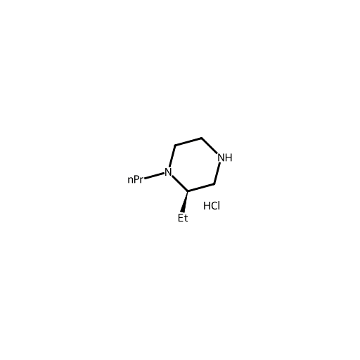 CCCN1CCNC[C@H]1CC.Cl